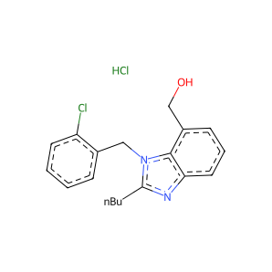 CCCCc1nc2cccc(CO)c2n1Cc1ccccc1Cl.Cl